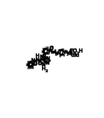 CC(C)(C)N(CCN1CCN(C/C=C/C(=O)N2CCC[C@@H](n3nc(C(=O)Nc4nc5ccccc5o4)c4c(N)ncnc43)C2)CC1)C(=O)O